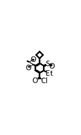 CCC1C(C(=O)Cl)=CC(S(C)(=O)=O)=C(C2CCC2)C1=S=O